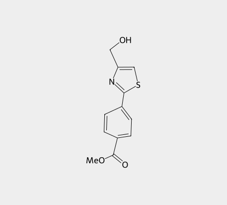 COC(=O)c1ccc(-c2nc(CO)cs2)cc1